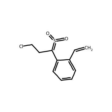 C=Cc1ccccc1C(CCCl)=S(=O)=O